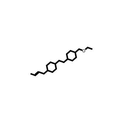 C/C=C/CC1CCC(CCC2CCC(COCC)CC2)CC1